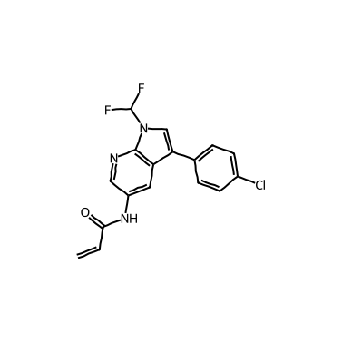 C=CC(=O)Nc1cnc2c(c1)c(-c1ccc(Cl)cc1)cn2C(F)F